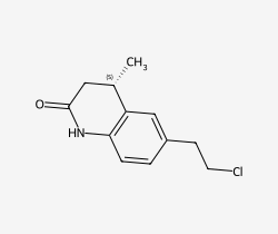 C[C@H]1CC(=O)Nc2ccc(CCCl)cc21